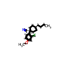 CCCC[C@H]1CC[C@@](C#N)(c2ccc(OC)cc2F)CC1